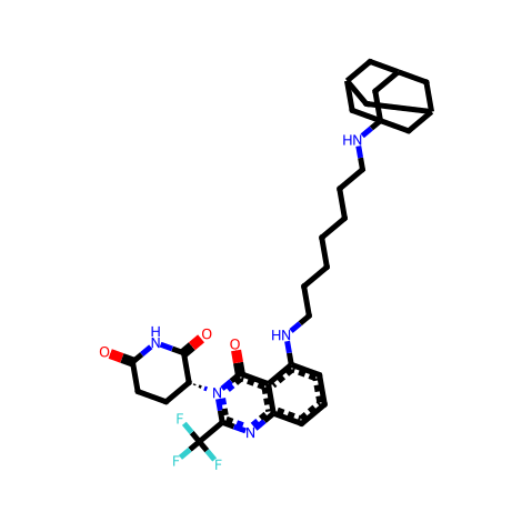 O=C1CC[C@@H](n2c(C(F)(F)F)nc3cccc(NCCCCCCCNC45CC6CC(CC(C6)C4)C5)c3c2=O)C(=O)N1